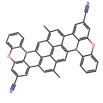 Cc1cc2c3c(cc4c(C)cc5c6c(cc1c3c46)B1c3ccccc3Oc3cc(C#N)cc-5c31)B1c3ccccc3Oc3cc(C#N)cc-2c31